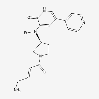 CCN(c1cc(-c2ccncc2)c[nH]c1=O)[C@H]1CCN(C(=O)C=CCN)C1